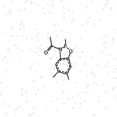 CC(=O)N1c2cc(C)c(C)cc2OP1C